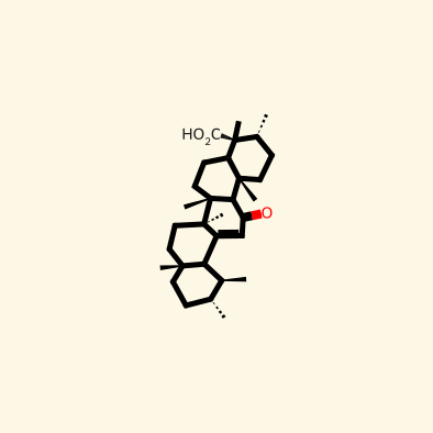 C[C@@H]1CC[C@]2(C)CC[C@]3(C)C(=CC(=O)C4[C@@]5(C)CC[C@@H](C)[C@](C)(C(=O)O)C5CC[C@]43C)C2[C@H]1C